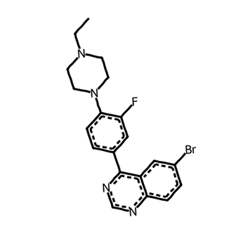 CCN1CCN(c2ccc(-c3ncnc4ccc(Br)cc34)cc2F)CC1